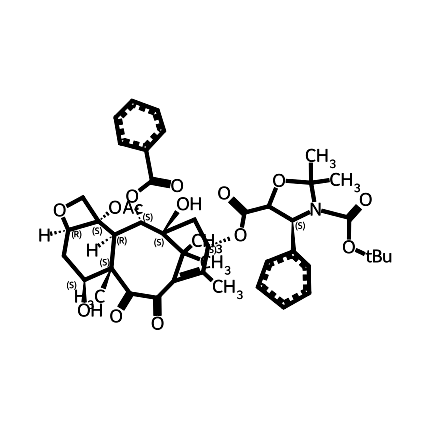 CC(=O)O[C@@]12CO[C@@H]1C[C@H](O)[C@@]1(C)C(=O)C(=O)C3=C(C)[C@@H](OC(=O)C4OC(C)(C)N(C(=O)OC(C)(C)C)[C@H]4c4ccccc4)C[C@@](O)([C@@H](OC(=O)c4ccccc4)[C@H]21)C3(C)C